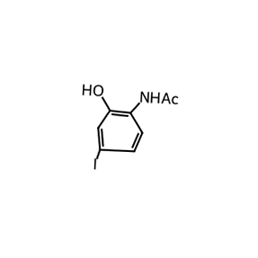 CC(=O)Nc1ccc(I)cc1O